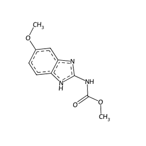 COC(=O)Nc1nc2cc(OC)ccc2[nH]1